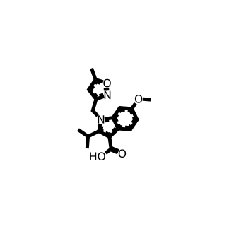 COc1ccc2c(C(=O)O)c(C(C)C)n(Cc3cc(C)on3)c2c1